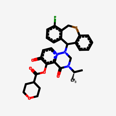 C[C@@H](N1CN(C2c3ccccc3SCc3c(F)cccc32)n2ccc(=O)c(OC(=O)C3CCOCC3)c2C1=O)C(F)(F)F